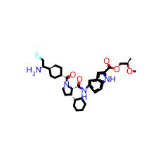 CO[C@H](C)COC(=O)c1cc2cc(NC(=O)[C@@H]3[C@H](C4CCCCC4)CCN3C(=O)[C@H]3CC[C@H]([C@H](N)CF)CC3)ccc2[nH]1